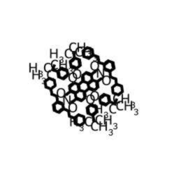 CC(C)(C)c1ccc(Oc2cc3c4c(cc(Oc5ccc(C(C)(C)C)cc5)c5c6c(Oc7ccc(C(C)(C)C)cc7)cc7c8c(cc(Oc9ccc(C(C)(C)C)cc9)c(c2c45)c86)C(=O)N(c2c(CCC4CCCCC4)cccc2CCC2CCCCC2)C7=O)C(=O)N(c2c(CCC4CCCCC4)cccc2CCC2CCCCC2)C3=O)cc1